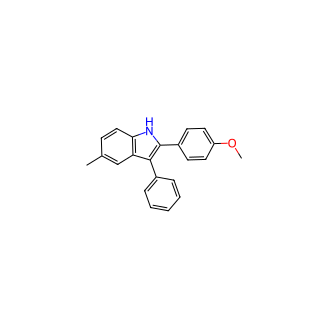 COc1ccc(-c2[nH]c3ccc(C)cc3c2-c2ccccc2)cc1